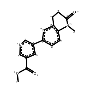 COC(=O)c1cncc(-c2ccc3c(n2)CCC(=O)N3C)c1